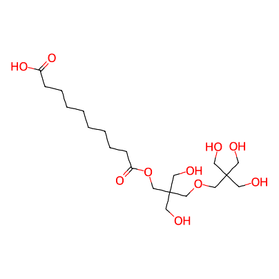 O=C(O)CCCCCCCCC(=O)OCC(CO)(CO)COCC(CO)(CO)CO